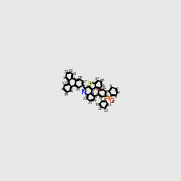 O=P(c1ccccc1)(c1ccccc1)c1cccc(-c2cccc3nc(-c4ccc5c6ccccc6c6ccccc6c5c4)c4sc5ccccc5c4c23)c1